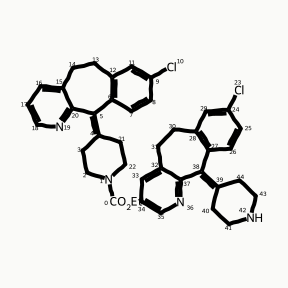 CCOC(=O)N1CCC(=C2c3ccc(Cl)cc3CCc3cccnc32)CC1.Clc1ccc2c(c1)CCc1cccnc1C2=C1CCNCC1